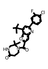 CC(C)(C)c1cc(-c2ccc(Cl)c(F)c2)nc2cc(C(=O)N3CCC(=O)NCC3(C)C)oc12